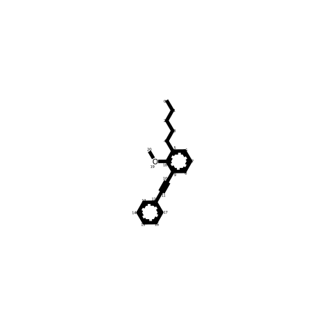 CCCCCc1cccc(C#Cc2ccccc2)c1OC